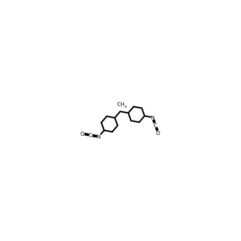 C.O=C=NC1CCC(CC2CCC(N=C=O)CC2)CC1